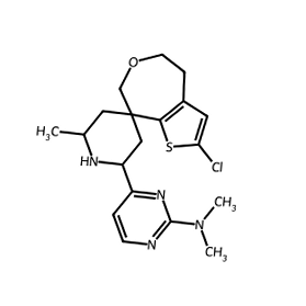 CC1CC2(COCCc3cc(Cl)sc32)CC(c2ccnc(N(C)C)n2)N1